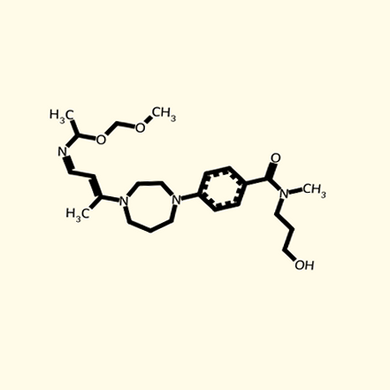 COCOC(C)/N=C\C=C(/C)N1CCCN(c2ccc(C(=O)N(C)CCCO)cc2)CC1